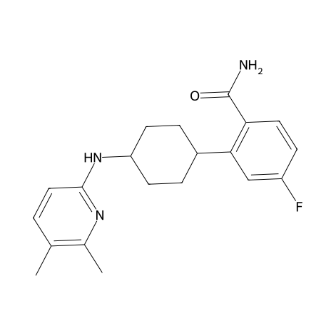 Cc1ccc(NC2CCC(c3cc(F)ccc3C(N)=O)CC2)nc1C